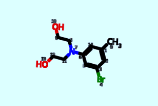 Cc1cc(Br)cc(N(CCO)CCO)c1